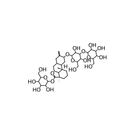 C=C1CC2CCC3[C@](C)(C(=O)OC4OC(CO)C(O)C(O)C4O)CCC[C@@]3(C)[C@@H]2CC1OC1OC(CO)C(O)C(OC2OC(CO)C(O)C(O)C2O)C1O